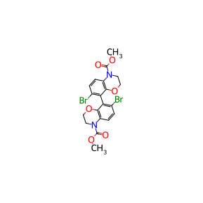 COC(=O)N1CCOc2c1ccc(Br)c2-c1c(Br)ccc2c1OCCN2C(=O)OC